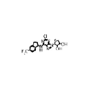 O[C@@H]1[C@H](O)CS[C@H]1n1cnc2c(N[C@@H]3CCc4cc(C(F)(F)F)ccc43)nc(Cl)nc21